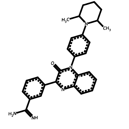 CC1CCCC(C)N1c1ccc(-n2c(=O)c(-c3cccc(C(=N)N)c3)nc3ccccc32)cc1